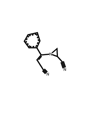 N#C/C=C(/c1ccccc1)N1CC1C#N